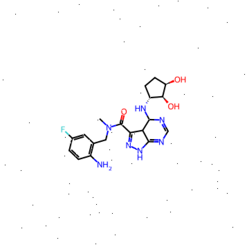 CN(Cc1cc(F)ccc1N)C(=O)C1=NNC2=NC=NC(N[C@@H]3CC[C@@H](O)[C@H]3O)C21